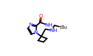 CC(C)(C)CNCC1(n2c[c]nc2C(N)=O)CCC1